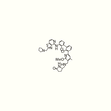 COc1nc(-c2cccc(-c3cccc(Nc4nccc5sc(CN6CCCC6)nc45)c3Cl)c2Cl)cc(C)c1CNCC1CCC(=O)N1